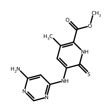 COC(=O)c1[nH]c(=S)c(Nc2cc(N)ncn2)cc1C